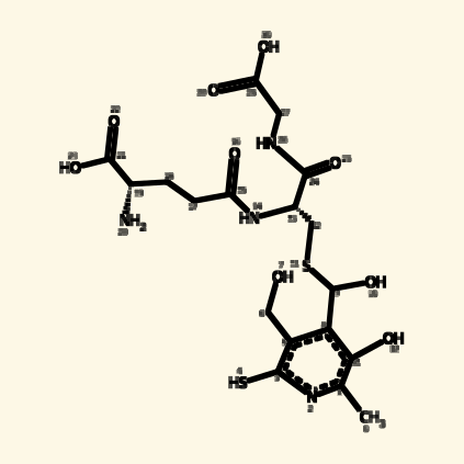 Cc1nc(S)c(CO)c(C(O)SC[C@H](NC(=O)CC[C@H](N)C(=O)O)C(=O)NCC(=O)O)c1O